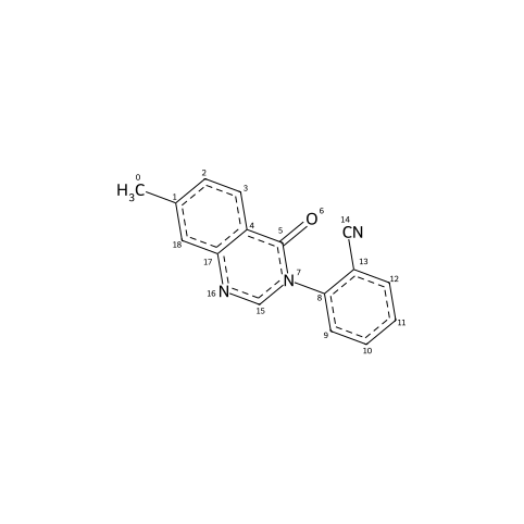 Cc1ccc2c(=O)n(-c3ccccc3C#N)cnc2c1